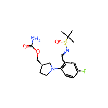 CC(C)(C)[S@@+]([O-])/N=C/c1cc(F)ccc1N1CC[C@@H](COC(N)=O)C1